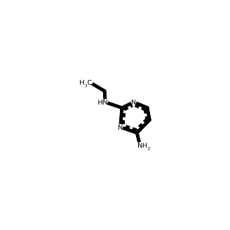 CCNc1nccc(N)n1